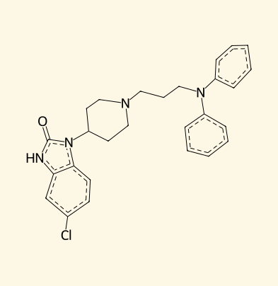 O=c1[nH]c2cc(Cl)ccc2n1C1CCN(CCCN(c2ccccc2)c2ccccc2)CC1